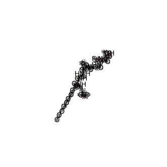 COCCOCCOCCOCCOCCOCCOCCOCCNC(=O)[C@H](CCC(=O)NCC(=O)NCC(=O)N[C@@H](Cc1ccccc1)C(=O)NCC(=O)NCO[C@@H](C)C(=O)NCc1c2c(nc3cc(F)c(C)cc13)-c1cc3c(c(=O)n1C2)COC(=O)[C@]3(O)CC1CC1)NC(=O)CCCCCN1C(=O)C=CC1=O